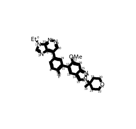 CCn1cnc2c(-c3ccc(F)c(-c4cc5cn(C6(C)CCOCC6)nc5cc4OC)c3)cnnc21